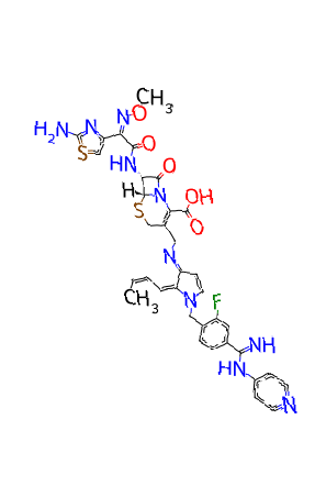 C\C=C/C=C1\C(=N\CC2=C(C(=O)O)N3C(=O)[C@@H](NC(=O)/C(=N\OC)c4csc(N)n4)[C@H]3SC2)C=CN1Cc1ccc(C(=N)Nc2ccncc2)cc1F